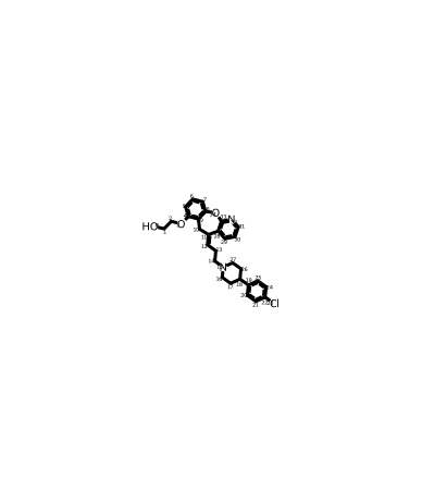 OCCOc1cccc2c1C/C(=C/CCN1CCC(c3ccc(Cl)cc3)CC1)c1cccnc1O2